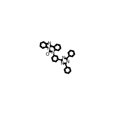 O=c1n(-c2cccc(-c3nc(-c4ccccc4)nc(-c4ccccc4)n3)c2)c2ccccc2c2nc3ccccc3n12